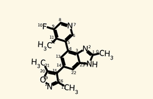 Cc1nc2c(-c3cncc(F)c3C)cc(-c3c(C)noc3C)cc2[nH]1